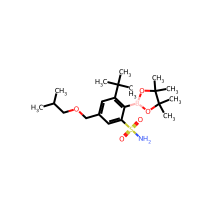 CC(C)COCc1cc(C(C)(C)C)c(B2OC(C)(C)C(C)(C)O2)c(S(N)(=O)=O)c1